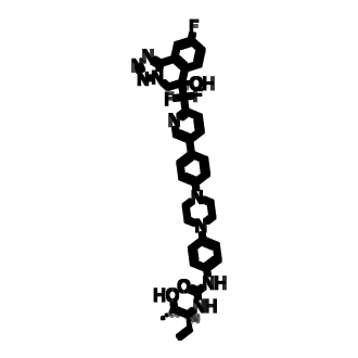 CC[C@H](NC(=O)Nc1ccc(N2CCN(c3ccc(-c4ccc(C(F)(F)[C@]5(O)Cn6nnnc6-c6cc(F)ccc65)nc4)cc3)CC2)cc1)[C@H](C)O